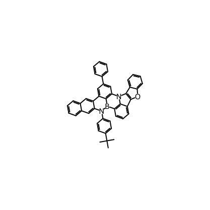 CC(C)(C)c1ccc(N2B3c4c(cc(-c5ccccc5)cc4-n4c5c3cccc5c3oc5ccccc5c34)-c3cc4ccccc4cc32)cc1